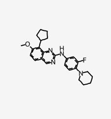 COc1ccc2cnc(Nc3ccc(N4CCCCC4)c(F)c3)nc2c1C1CCCC1